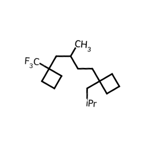 CC(C)CC1(CCC(C)CC2(C(F)(F)F)CCC2)CCC1